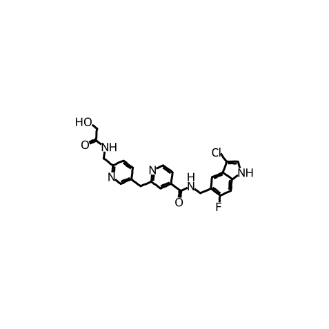 O=C(CO)NCc1ccc(Cc2cc(C(=O)NCc3cc4c(Cl)c[nH]c4cc3F)ccn2)cn1